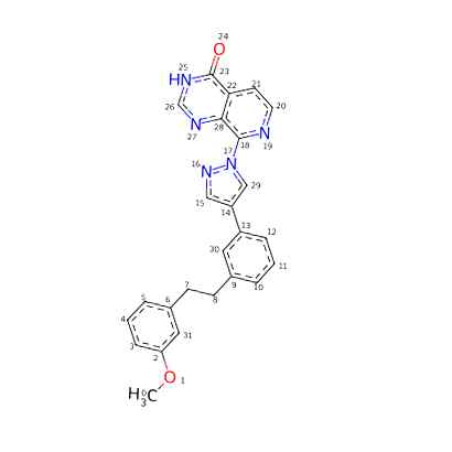 COc1cccc(CCc2cccc(-c3cnn(-c4nccc5c(=O)[nH]cnc45)c3)c2)c1